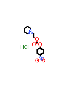 Cl.O=C(OCCN1CCCCC1)Oc1ccc([N+](=O)[O-])cc1